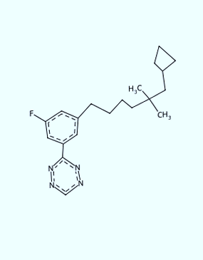 CC(C)(CCCCc1cc(F)cc(-c2nncnn2)c1)CC1CCC1